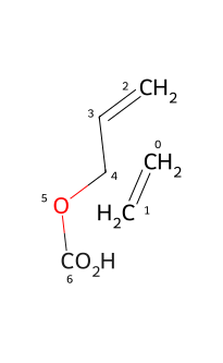 C=C.C=CCOC(=O)O